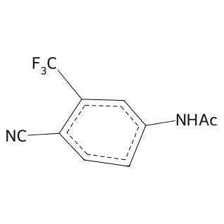 [CH2]C(=O)Nc1ccc(C#N)c(C(F)(F)F)c1